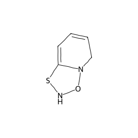 C1=CCN2ONSC2=C1